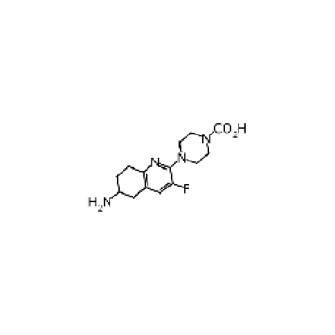 NC1CCc2nc(N3CCN(C(=O)O)CC3)c(F)cc2C1